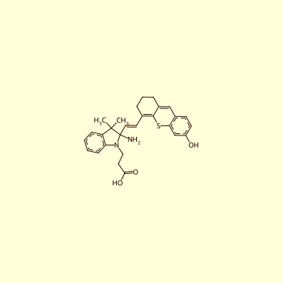 CC1(C)c2ccccc2N(CCC(=O)O)C1(N)C=CC1=C2Sc3cc(O)ccc3C=C2CCC1